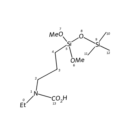 CCN(CCC[Si](OC)(OC)O[Si](C)(C)C)C(=O)O